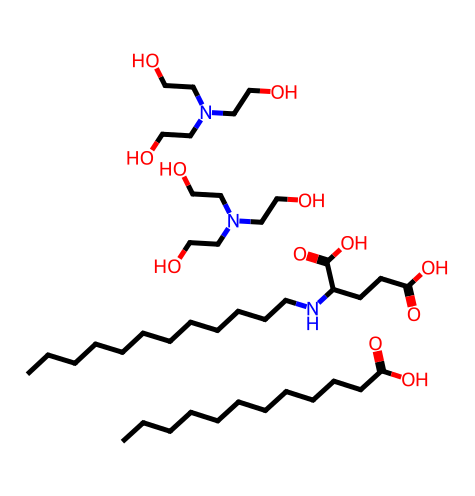 CCCCCCCCCCCC(=O)O.CCCCCCCCCCCCNC(CCC(=O)O)C(=O)O.OCCN(CCO)CCO.OCCN(CCO)CCO